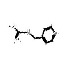 C=C(C)NCc1ccncc1